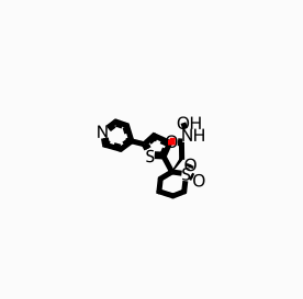 O=C(C[C@]1(c2ccc(-c3ccncc3)s2)CCCCS1(=O)=O)NO